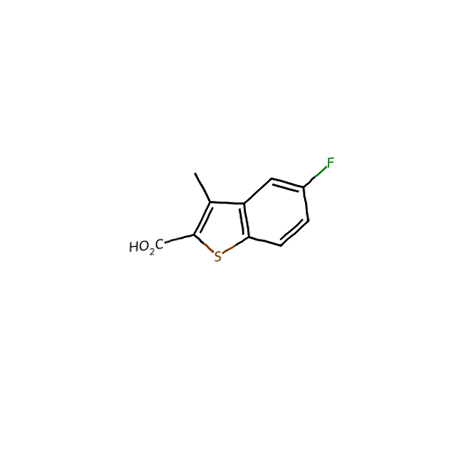 Cc1c(C(=O)O)sc2ccc(F)cc12